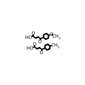 COc1ccc(C(=O)C=CC(=O)O)cc1.Cc1ccc(C(=O)C=CC(=O)O)cc1